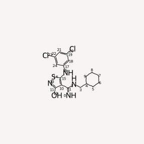 N=C(NCC1CCCCC1)c1c(O)nsc1Nc1cc(Cl)cc(Cl)c1